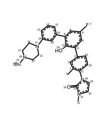 Cc1cc(-c2cc(F)cc(-c3cccc(N4CCN(C(C)(C)C)CC4)c3)c2O)ccc1-n1ccn(C)c1=O